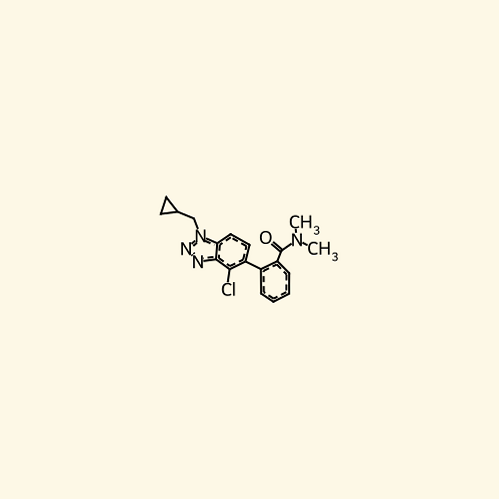 CN(C)C(=O)c1ccccc1-c1ccc2c(nnn2CC2CC2)c1Cl